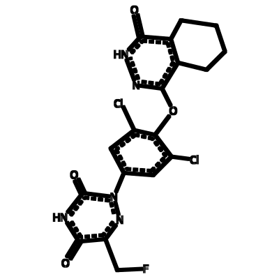 O=c1[nH]c(=O)n(-c2cc(Cl)c(Oc3n[nH]c(=O)c4c3CCCC4)c(Cl)c2)nc1CF